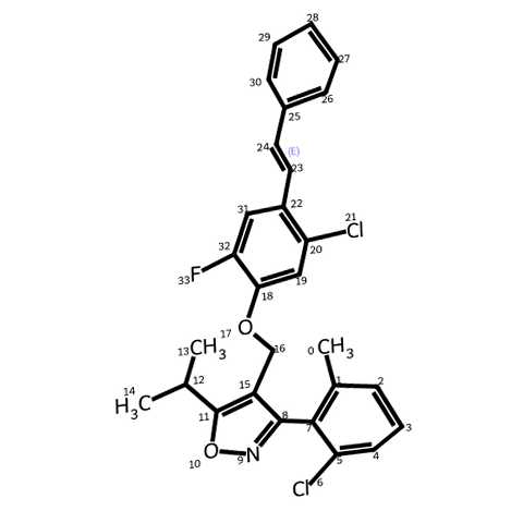 Cc1cccc(Cl)c1-c1noc(C(C)C)c1COc1cc(Cl)c(/C=C/c2ccccc2)cc1F